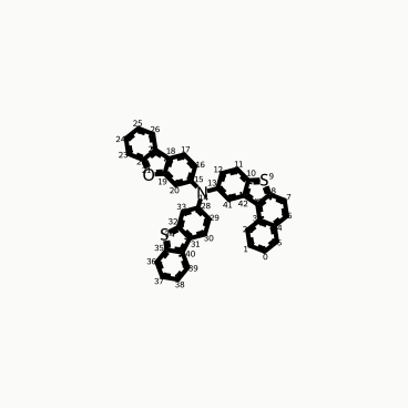 c1ccc2c(c1)ccc1sc3ccc(N(c4ccc5c(c4)oc4ccccc45)c4ccc5c(c4)sc4ccccc45)cc3c12